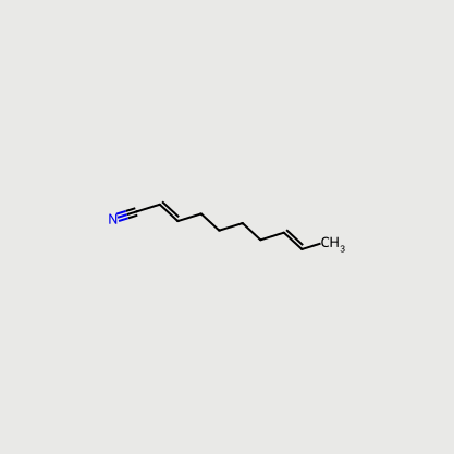 CC=CCCCCC=CC#N